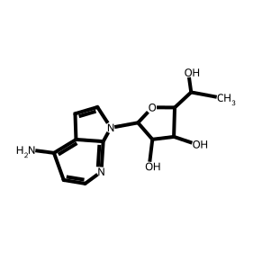 CC(O)C1OC(n2ccc3c(N)ccnc32)C(O)C1O